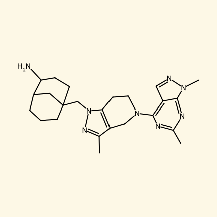 Cc1nc(N2CCc3c(c(C)nn3CC34CCCC(C3)C(N)CC4)C2)c2cnn(C)c2n1